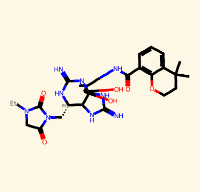 CCN1CC(=O)N(C[C@@H]2NC(=N)N3CC(NC(=O)c4cccc5c4OCCC5(C)C)C(O)(O)C34NC(=N)NC24)C1=O